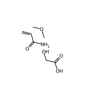 C=CC(N)=O.COC.O=C(O)CO